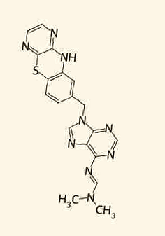 CN(C)C=Nc1ncnc2c1ncn2Cc1ccc2c(c1)Nc1nccnc1S2